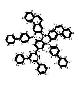 c1ccc(-c2ccc(N3c4cc5c(ccc6ccccc65)cc4B4c5cc6ccc7ccccc7c6cc5N(c5ccc(-c6ccccc6)cc5)c5cc(-c6cc(-c7ccccc7)nc(-c7ccccc7)n6)cc3c54)cc2)cc1